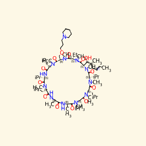 C/C=C/C[C@@H](C)[C@@H](O)[C@H]1C(=O)N(C)[C@@H](CC)C(=O)N(C)[C@H](COCCCN2CCCCC2)C(=O)N(C)[C@@H](CC(C)C)C(=O)N[C@@H](C(C)C)C(=O)N(C)[C@@H](CC(C)C)C(=O)N[C@@H](C)C(=O)N[C@H](C)C(=O)N(C)[C@@H](CC(C)C)C(=O)N(C)[C@@H](CC(C)C)C(=O)N(C)[C@@H](C(C)C)C(=O)N1C